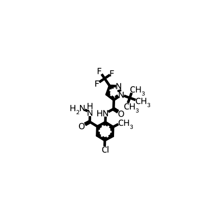 Cc1cc(Cl)cc(C(=O)NN)c1NC(=O)c1cc(C(F)(F)F)nn1C(C)(C)C